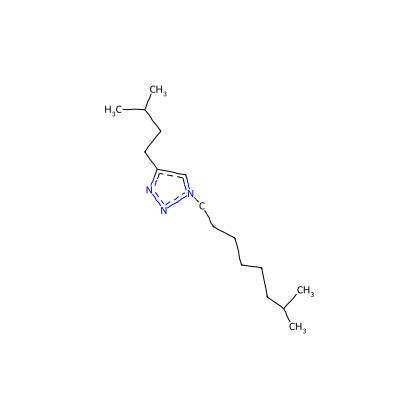 CC(C)CCCCCCn1cc(CCC(C)C)nn1